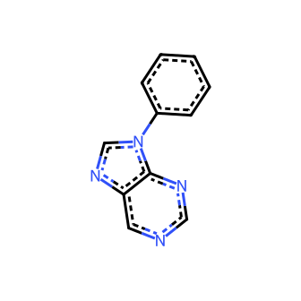 c1ccc(-n2cnc3cncnc32)cc1